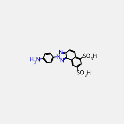 Nc1ccc(-n2nc3ccc4c(S(=O)(=O)O)cc(S(=O)(=O)O)cc4c3n2)cc1